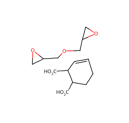 C(OCC1CO1)C1CO1.O=C(O)C1C=CCCC1C(=O)O